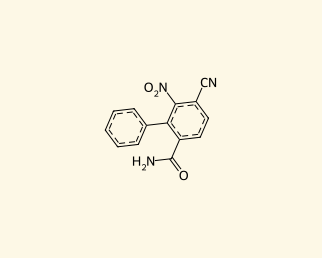 N#Cc1ccc(C(N)=O)c(-c2ccccc2)c1[N+](=O)[O-]